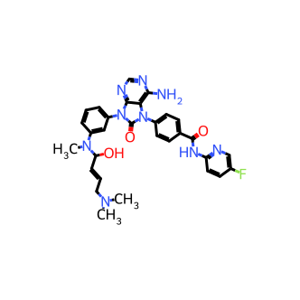 CN(C)C/C=C/C(O)N(C)c1cccc(-n2c(=O)n(-c3ccc(C(=O)Nc4ccc(F)cn4)cc3)c3c(N)ncnc32)c1